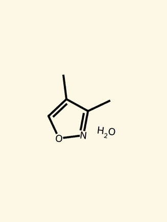 Cc1conc1C.O